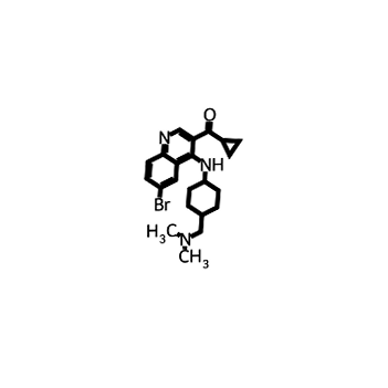 CN(C)CC1CCC(Nc2c(C(=O)C3CC3)cnc3ccc(Br)cc23)CC1